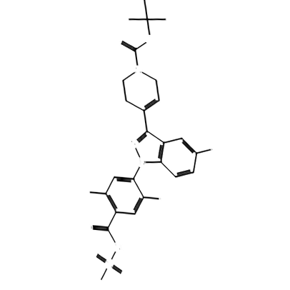 CC(C)(C)OC(=O)N1CC=C(c2nn(-c3cc(F)c(C(=O)NS(C)(=O)=O)cc3Cl)c3ccc(Cl)cc23)CC1